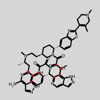 CC1=C(c2nc3cc([C@H]4CC[C@H](CCN(C)[C@@H](C)COc5cccc([C@H]6CC[C@H](C)CN6C(=O)C(=O)Nc6cnc(N)c7cn[nH]c67)c5)CN4C(=O)C(=O)Nc4cncc5cn[nH]c45)ccc3s2)CCN(C)C1